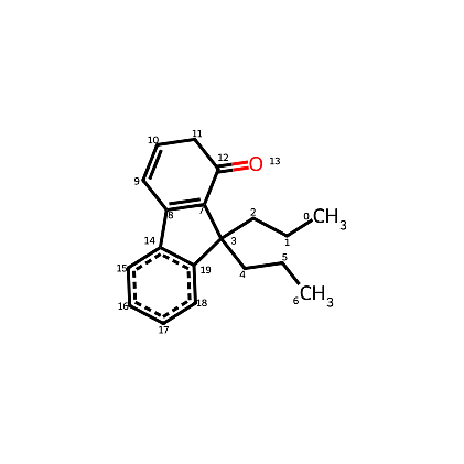 CCCC1(CCC)C2=C(C=CCC2=O)c2ccccc21